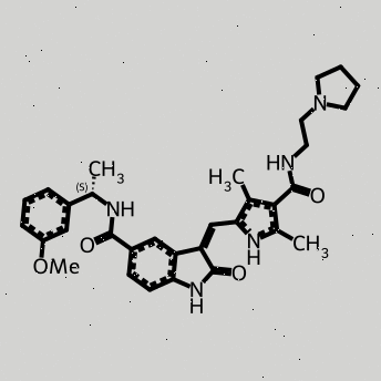 COc1cccc([C@H](C)NC(=O)c2ccc3c(c2)C(=Cc2[nH]c(C)c(C(=O)NCCN4CCCC4)c2C)C(=O)N3)c1